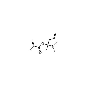 C=CCC(C)(OC(=O)C(=C)C)N(C)C